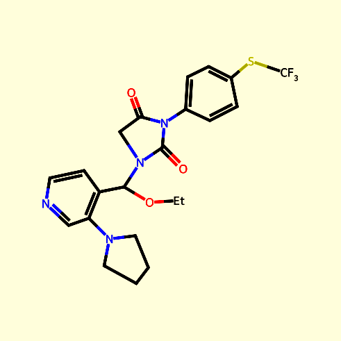 CCOC(c1ccncc1N1CCCC1)N1CC(=O)N(c2ccc(SC(F)(F)F)cc2)C1=O